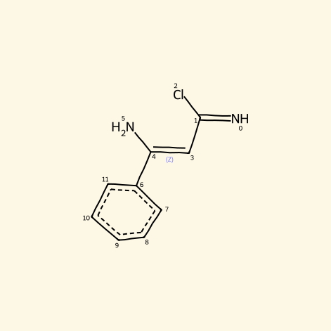 N=C(Cl)/C=C(\N)c1ccccc1